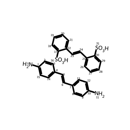 Nc1ccc(C=Cc2ccc(N)cc2)cc1.O=S(=O)(O)c1ccccc1C=Cc1ccccc1S(=O)(=O)O